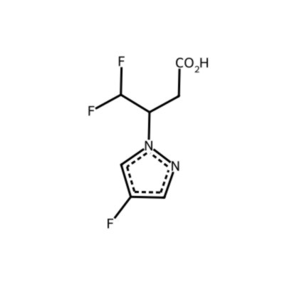 O=C(O)CC(C(F)F)n1cc(F)cn1